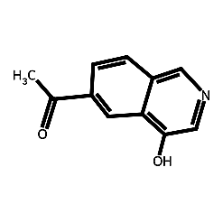 CC(=O)c1ccc2cncc(O)c2c1